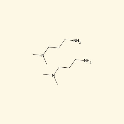 CN(C)CCCN.CN(C)CCCN